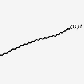 O=C(O)CCCCCCCCCCCCCCCCCCCCCCCCCCCCCCCCCCCCCCl